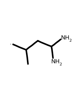 [CH2]C(C)CC(N)N